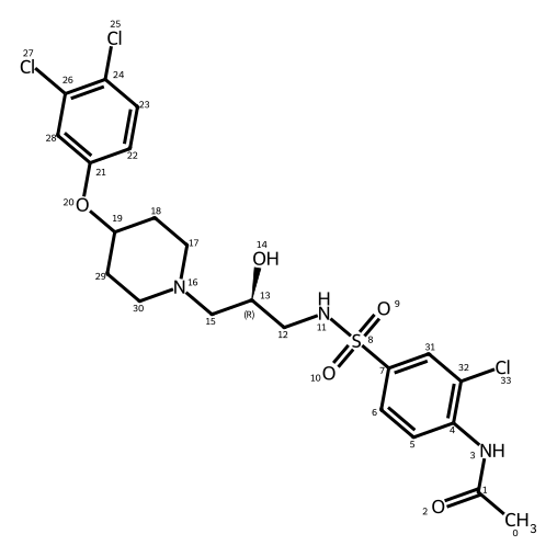 CC(=O)Nc1ccc(S(=O)(=O)NC[C@H](O)CN2CCC(Oc3ccc(Cl)c(Cl)c3)CC2)cc1Cl